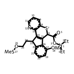 CCN(CC)OC(=O)C1Sc2cccnc2C2=C1c1c(OC)cccc1C2CCOSC